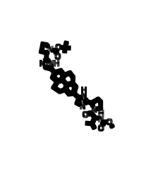 COC(=O)NC(C(=O)N1CCCC1c1ncc(-c2cc3c4c(c2)CCc2cc(-c5cnc(C6CCCN6C(=O)OC(C)(C)C)[nH]5)cc(c2-4)CC3)[nH]1)C(C)C